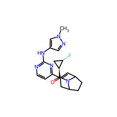 Cn1cc(Nc2nccc(C3=CC4CCC(C3)N4C(=O)[C@H]3C[C@@H]3F)n2)cn1